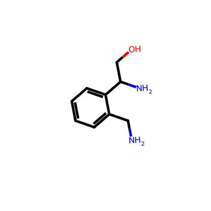 NCc1ccccc1C(N)CO